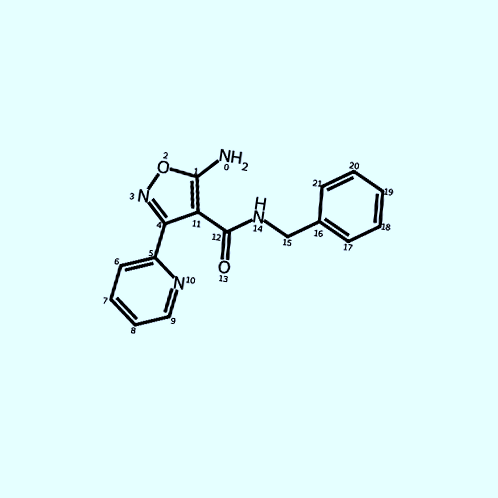 Nc1onc(-c2ccccn2)c1C(=O)NCc1ccccc1